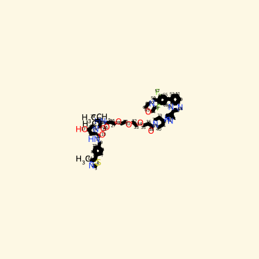 Cc1ncsc1-c1ccc(CNC(=O)[C@@H]2C[C@@H](O)CN2C(=O)[C@@H](NC(=O)CCOCCOCCOCCC(=O)N2CCC(n3cc(-c4cnc5cccc(-c6cc(F)c(CN7CCOCC7)c(F)c6)c5n4)cn3)CC2)C(C)(C)C)cc1